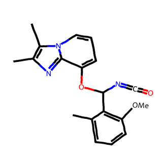 COc1cccc(C)c1C(N=C=O)Oc1cccn2c(C)c(C)nc12